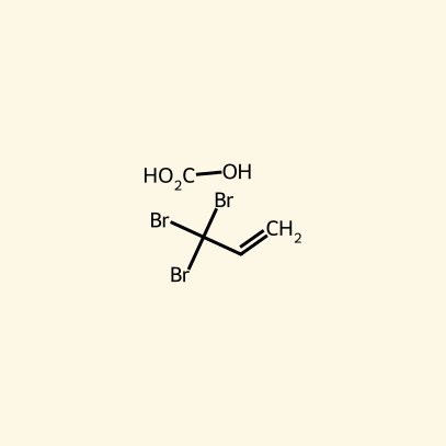 C=CC(Br)(Br)Br.O=C(O)O